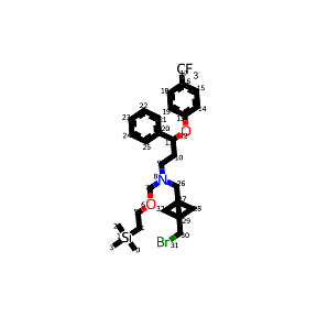 C[Si](C)(C)CCOCN(CCC(Oc1ccc(C(F)(F)F)cc1)c1ccccc1)CC12CC1(CBr)C2